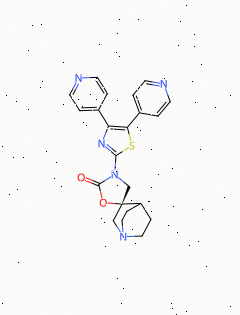 O=C1O[C@]2(CN3CCC2CC3)CN1c1nc(-c2ccncc2)c(-c2ccncc2)s1